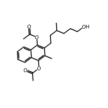 CC(=O)Oc1c(C)c(CCC(C)CCCO)c(OC(C)=O)c2ccccc12